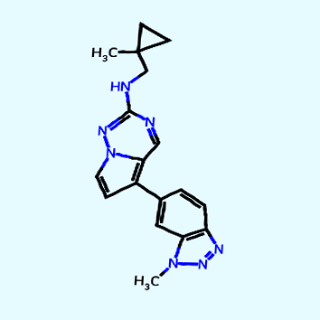 Cn1nnc2ccc(-c3ccn4nc(NCC5(C)CC5)ncc34)cc21